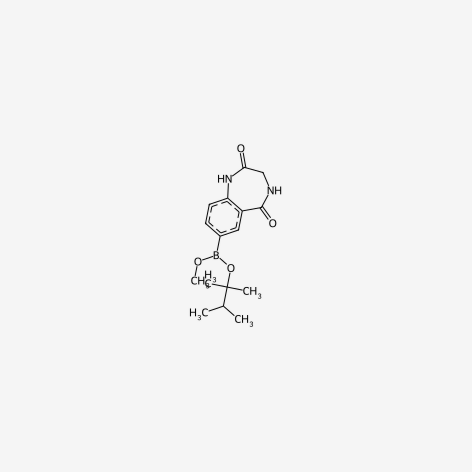 COB(OC(C)(C)C(C)C)c1ccc2c(c1)C(=O)NCC(=O)N2